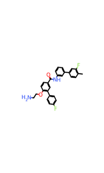 Cc1ccc(-c2cccc(NC(=O)c3ccc(OCCN)c(-c4ccc(F)cc4)c3)c2)cc1F